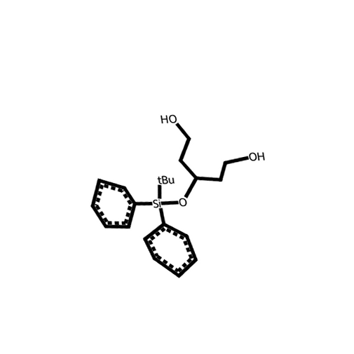 CC(C)(C)[Si](OC(CCO)CCO)(c1ccccc1)c1ccccc1